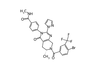 CNC(=O)c1ccc(-n2c(-n3cccn3)nc3c(c2=O)C[C@@H](C)N(C(=O)c2ccc(Br)c(C(F)(F)F)c2)C3)cc1